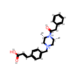 C[C@@H]1CN(Cc2ccc(C=CC(=O)O)cc2)C[C@H](C)N1C(=O)Cc1ccccc1